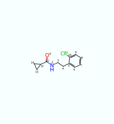 O=C(NCCc1ccccc1Cl)C1CC1